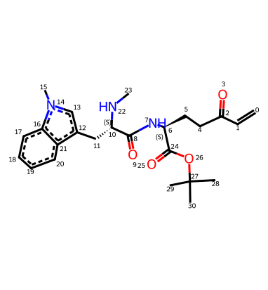 C=CC(=O)CC[C@H](NC(=O)[C@H](Cc1cn(C)c2ccccc12)NC)C(=O)OC(C)(C)C